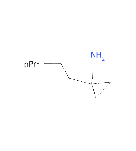 CCCCCC1(N)CC1